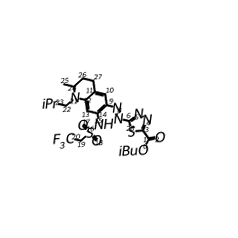 CC(C)COC(=O)c1nnc(N=Nc2cc3c(cc2NS(=O)(=O)CC(F)(F)F)N(CC(C)C)C(C)CC3)s1